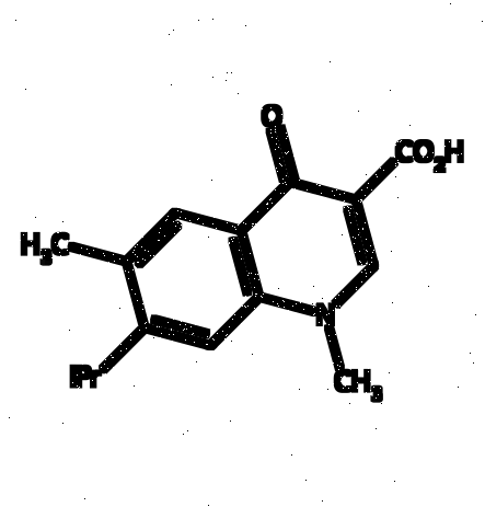 Cc1cc2c(=O)c(C(=O)O)cn(C)c2cc1C(C)C